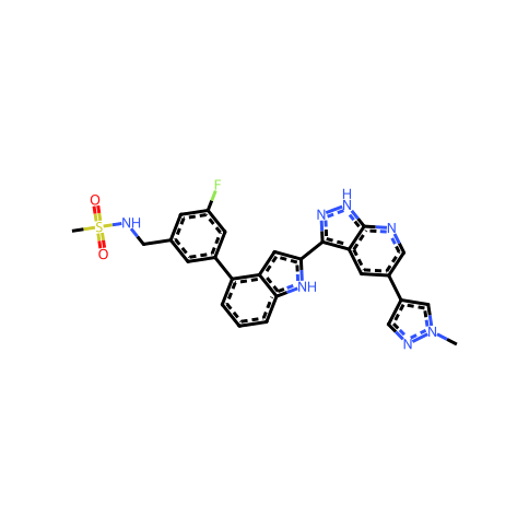 Cn1cc(-c2cnc3[nH]nc(-c4cc5c(-c6cc(F)cc(CNS(C)(=O)=O)c6)cccc5[nH]4)c3c2)cn1